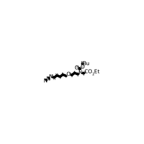 CCOC(=O)CN(CCCOCCCCCN=[N+]=[N-])C(=O)OC(C)(C)C